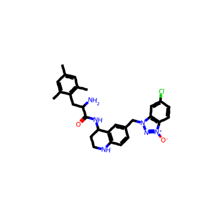 Cc1cc(C)c(CC(N)C(=O)NC2CCNc3ccc(Cn4n[n+]([O-])c5ccc(Cl)cc54)cc32)c(C)c1